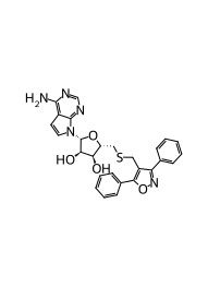 Nc1ncnc2c1ccn2[C@@H]1O[C@H](CSCc2c(-c3ccccc3)noc2-c2ccccc2)[C@@H](O)[C@H]1O